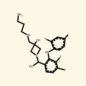 NCCCNCC1(O)CN(C(O)c2ccc(F)c(F)c2Nc2ccc(I)cc2F)C1